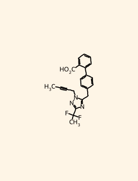 CC#CCn1nc(C(C)(F)F)nc1Cc1ccc(-c2ccccc2C(=O)O)cc1